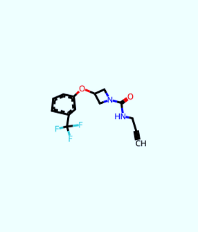 C#CCNC(=O)N1CC(Oc2cccc(C(F)(F)F)c2)C1